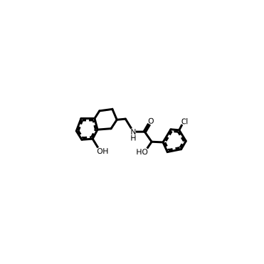 O=C(NCC1CCc2cccc(O)c2C1)C(O)c1cccc(Cl)c1